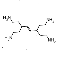 NCCC(/C=C/C(CCN)CCN)CCN